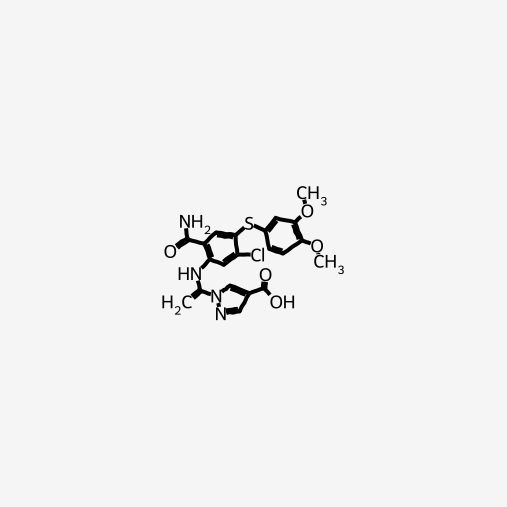 C=C(Nc1cc(Cl)c(Sc2ccc(OC)c(OC)c2)cc1C(N)=O)n1cc(C(=O)O)cn1